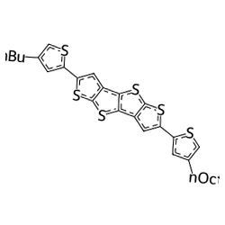 CCCCCCCCc1csc(-c2cc3c(s2)sc2c4cc(-c5cc(CCCC)cs5)sc4sc32)c1